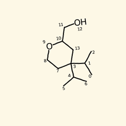 CC(C)C1(C(C)C)CCOC(CO)C1